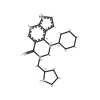 O=C1c2cnc3[nH]ccc3c2N(C2CCCCC2)CN1CC1CCCO1